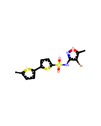 Cc1ccc(-c2ccc(S(=O)(=O)Nc3noc(C)c3Br)s2)s1